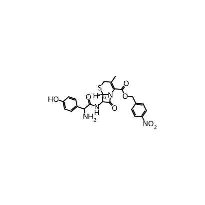 CC1=C(C(=O)OCc2ccc([N+](=O)[O-])cc2)N2C(=O)C(NC(=O)C(N)c3ccc(O)cc3)[C@@H]2SC1